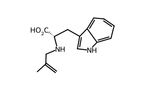 C=C(C)CN[C@@H](Cc1c[nH]c2ccccc12)C(=O)O